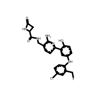 Nc1nc(-c2cc(Nc3ccc(Cl)cc3CF)ccc2O)ccc1CNC(=O)C1CC(=O)N1